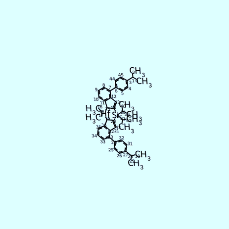 CC(C)c1ccc(-c2cccc3c2C=C2[CH]3[Hf]([CH3])([CH3])[CH]3C(=Cc4c(-c5ccc(C(C)C)cc5)cccc43)[Si]2(C(C)C)C(C)C)cc1